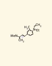 C=CN(CC)c1ccc(/C=C/C(=C)NC)cc1C